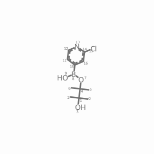 CC(C)(O)C(C)(C)OB(O)c1ccnc(Cl)c1